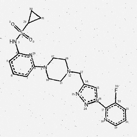 O=S(=O)(Nc1cccc(N2CCN(Cc3cn(-c4ncccc4F)nn3)CC2)n1)C1CC1